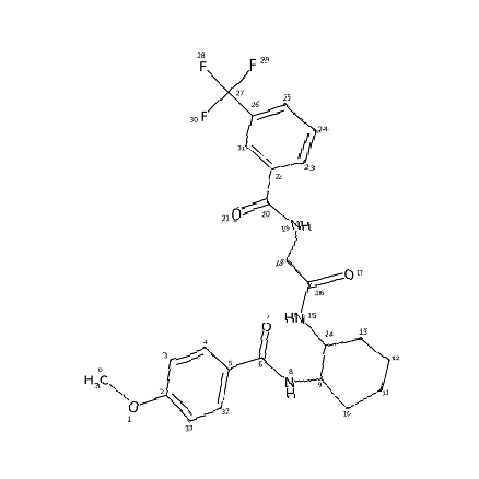 COc1ccc(C(=O)NC2CCCCC2NC(=O)CNC(=O)c2cccc(C(F)(F)F)c2)cc1